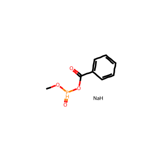 CO[PH](=O)OC(=O)c1ccccc1.[NaH]